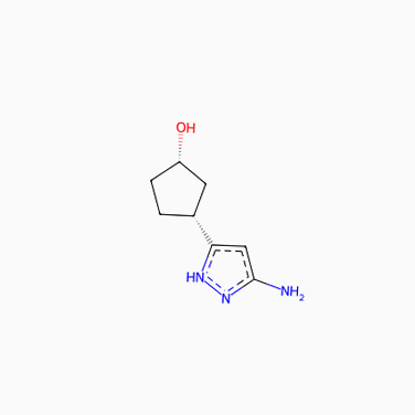 Nc1cc([C@@H]2CC[C@H](O)C2)[nH]n1